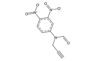 C#CCN(C=O)c1ccc([N+](=O)[O-])c([N+](=O)[O-])c1